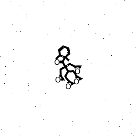 CC1C=CC=CC1(C)C(=O)C(CC1CO1)(CC1CO1)C(CC1CO1)CC1CO1